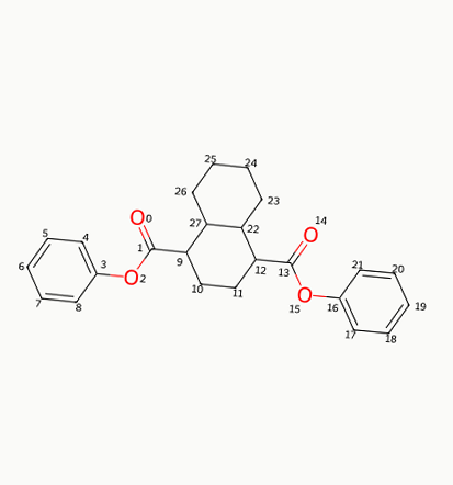 O=C(Oc1ccccc1)C1CCC(C(=O)Oc2ccccc2)C2CCCCC12